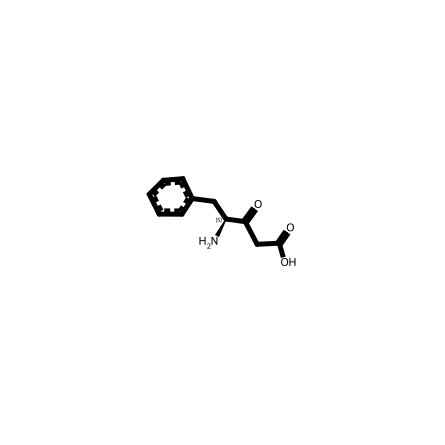 N[C@@H](Cc1ccccc1)C(=O)CC(=O)O